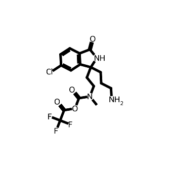 CN(CCC1(CCCN)NC(=O)c2ccc(Cl)cc21)C(=O)OC(=O)C(F)(F)F